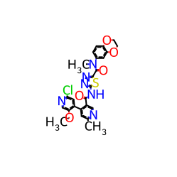 COc1cnc(Cl)cc1-c1cc(C)ncc1C(=O)Nc1nnc(C(=O)N(C)c2ccc3c(c2)OCCO3)s1